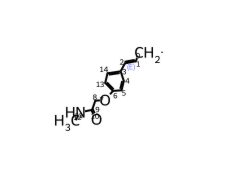 [CH2]/C=C/c1ccc(OCC(=O)NC)cc1